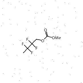 COC(=O)OCC(F)(F)C(C)(F)F